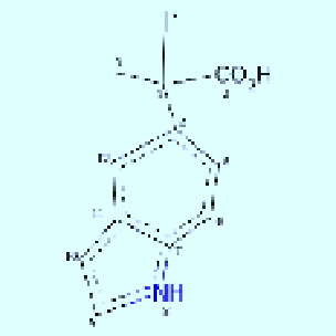 CC(C)(C(=O)O)c1ccc2[nH]ccc2c1